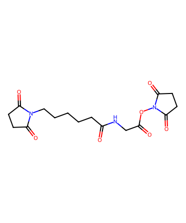 O=C(CCCCCN1C(=O)CCC1=O)NCC(=O)ON1C(=O)CCC1=O